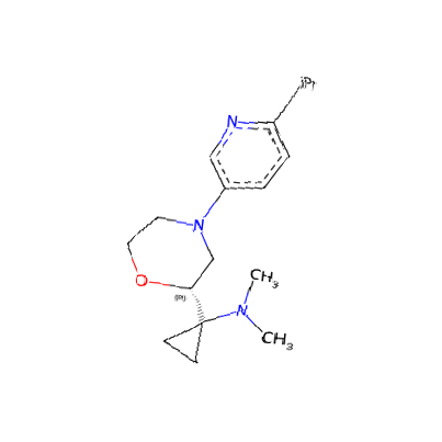 CC(C)c1ccc(N2CCO[C@@H](C3(N(C)C)CC3)C2)cn1